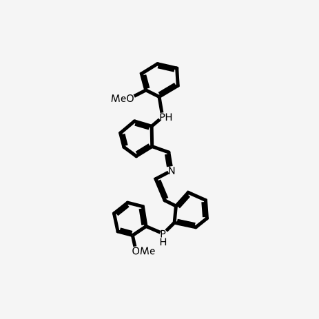 COc1ccccc1Pc1ccccc1/C=C\N=C/c1ccccc1Pc1ccccc1OC